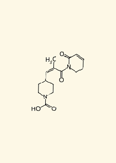 CC(=CC1CCN(C(=O)O)CC1)C(=O)N1CCC=CC1=O